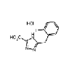 Cl.O=C(O)c1nnc(Cc2ccccc2F)[nH]1